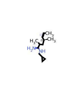 C/C=C\[C@@H](C)CC(C)C(N)NCC1CC1